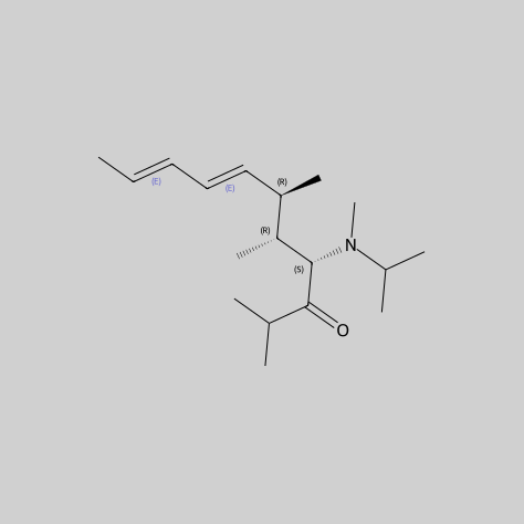 C/C=C/C=C/[C@@H](C)[C@@H](C)[C@@H](C(=O)C(C)C)N(C)C(C)C